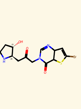 O=C(C[C@H]1NCC[C@@H]1O)CN1C=NC2C=C(Br)SC2C1=O